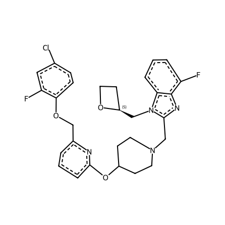 Fc1cc(Cl)ccc1OCc1cccc(OC2CCN(Cc3nc4c(F)cccc4n3C[C@@H]3CCO3)CC2)n1